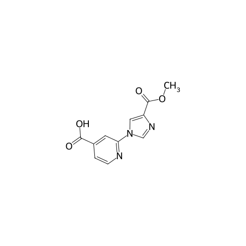 COC(=O)c1cn(-c2cc(C(=O)O)ccn2)cn1